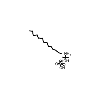 CC(C)(N)O.CCCCCCCCCCCCCC.O=S(=O)(O)O